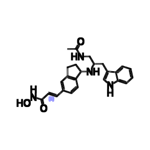 CC(=O)NCC(Cc1c[nH]c2ccccc12)NC1CCc2cc(/C=C/C(=O)NO)ccc21